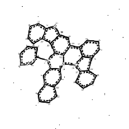 c1ccc(-n2c3cc4ccccc4cc3n3n4c5ccccc5c5cccc(c6cc7oc8ccccc8c7c2c6-3)c54)cc1